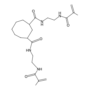 C=C(C)C(=O)NCCNC(=O)C1CCCCCC(C(=O)NCCNC(=O)C(=C)C)C1